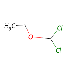 CCOC(Cl)Cl